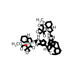 COC(=O)CC1(C(=O)N2[C@H](c3nc4cc(-c5cc6ccc5CCC5=C[C@@H](c7ccc8[nH]c([C@@H]9C[C@@H]%10CCCC[C@@H]%10N9C(=O)C9(CC(=O)OC)COC9)nc8c7)C(C=C5)CC6)ccc4[nH]3)C[C@@H]3CCCC[C@@H]32)COC1